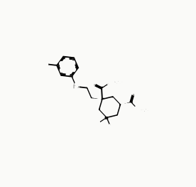 COC(=O)[C@H]1CC(F)(F)C[C@](CCNc2cccc(F)c2)(C(=O)OC)C1